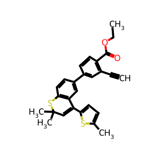 C#Cc1cc(-c2ccc3c(c2)C(c2ccc(C)s2)=CC(C)(C)S3)ccc1C(=O)OCC